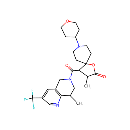 CC1CN(C(=O)C2C(C)C(=O)OC23CCN(C2CCOCC2)CC3)Cc2cc(C(F)(F)F)cnc21